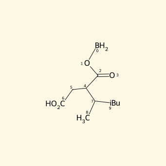 BOC(=O)C(CC(=O)O)C(C)C(C)CC